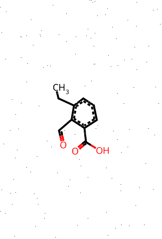 CCc1cccc(C(=O)O)c1C=O